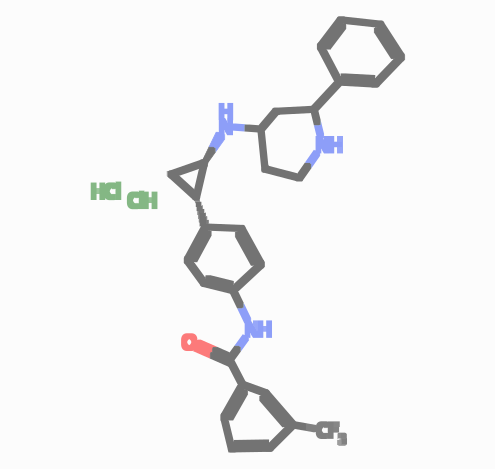 Cl.Cl.O=C(Nc1ccc([C@@H]2C[C@H]2NC2CCNC(c3ccccc3)C2)cc1)c1cccc(C(F)(F)F)c1